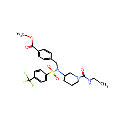 CCNC(=O)N1CCCC(N(Cc2ccc(C(=O)OC)cc2)S(=O)(=O)c2ccc(C(F)(F)F)cc2)C1